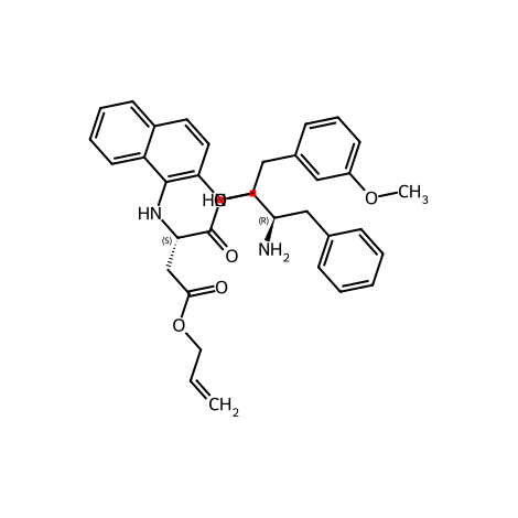 C=CCOC(=O)C[C@H](Nc1c(OC[C@H](N)Cc2ccccc2)ccc2ccccc12)C(=O)NCCc1cccc(OC)c1